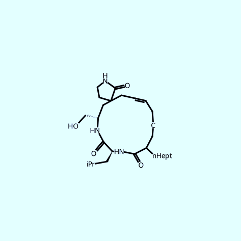 CCCCCCCC1CCCC=CCC2(CCNC2=O)C[C@@H](CO)NC(=O)[C@H](CC(C)C)NC1=O